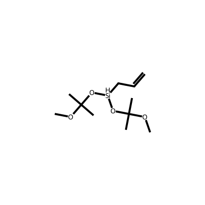 C=CC[SiH](OC(C)(C)OC)OC(C)(C)OC